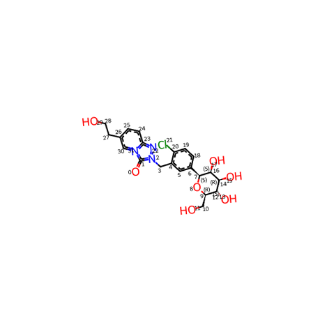 O=c1n(Cc2cc([C@@H]3O[C@H](CO)[C@@H](O)[C@H](O)[C@@H]3O)ccc2Cl)nc2ccc(CCO)cn12